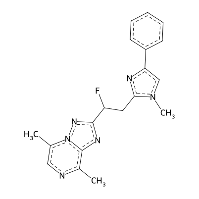 Cc1ncc(C)n2nc(C(F)Cc3nc(-c4ccccc4)cn3C)nc12